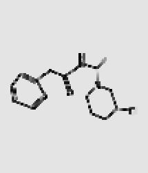 CC(NC(=O)Cc1ccccc1)N1CCCC(Cl)C1